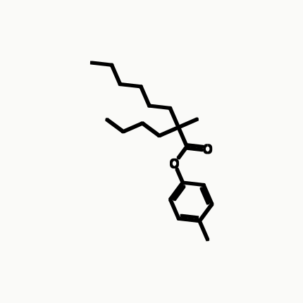 CCCCCCC(C)(CCCC)C(=O)Oc1ccc(C)cc1